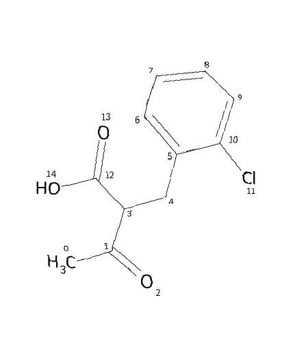 CC(=O)C(Cc1ccccc1Cl)C(=O)O